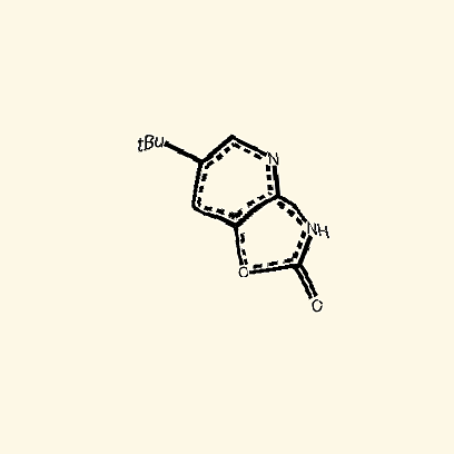 CC(C)(C)c1cnc2[nH]c(=O)oc2c1